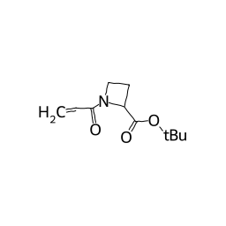 C=CC(=O)N1CCC1C(=O)OC(C)(C)C